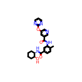 Cc1ccc(C(=O)N[C@H]2CCCC[C@@H]2O)cc1NC(=O)c1cncc(Oc2ncccn2)c1